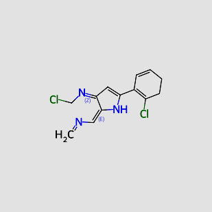 C=N/C=C1/NC(C2=C(Cl)CCC=C2)=C/C1=N/CCl